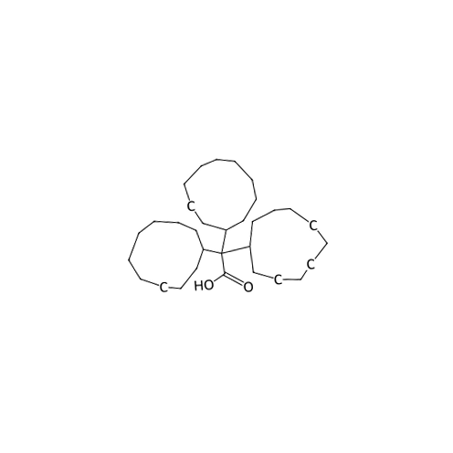 O=C(O)C(C1CCCCCCCCC1)(C1CCCCCCCCC1)C1CCCCCCCCC1